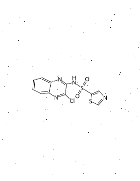 O=S(=O)(Nc1nc2ccccc2nc1Cl)c1cncs1